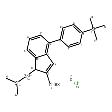 CCCCCCC1=Cc2c(-c3ccc([Si](C)(C)C)cc3)cccc2[CH]1[Zr+2][Si](C)C.[Cl-].[Cl-]